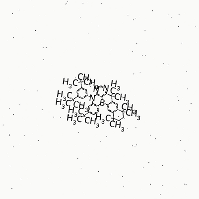 CC(C)(C)c1cc(N2c3cc(C(C)(C)C)ccc3B3c4cc5c(cc4C(C)(C)c4ncnc2c43)C(C)(C)CCC5(C)C)cc(C(C)(C)C)c1